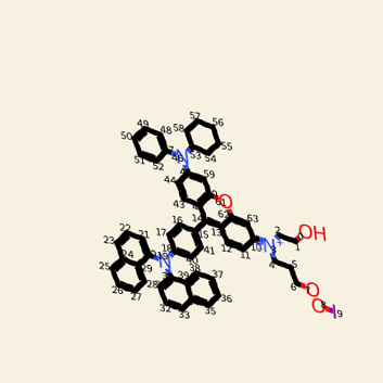 OCC/[N+](CCCOOI)=c1/ccc2c(-c3ccc(N(c4cccc5ccccc45)c4cccc5ccccc45)cc3)c3ccc(N(c4ccccc4)C4CCCCC4)cc3oc-2c1